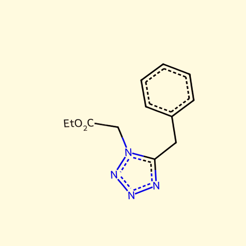 CCOC(=O)Cn1nnnc1Cc1ccccc1